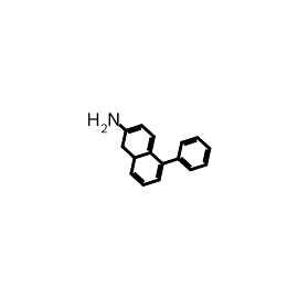 NC1=CC=C2C(c3ccccc3)=CC=CC2C1